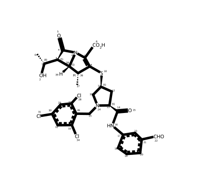 C[C@@H](O)[C@H]1C(=O)N2C(C(=O)O)=C(S[C@H]3C[C@@H](C(=O)Nc4cccc(C=O)c4)N(Cc4c(Cl)cc(Cl)cc4Cl)C3)[C@H](C)[C@H]12